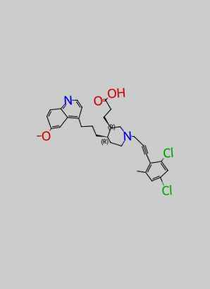 COc1ccc2nccc(CCC[C@@H]3CCN(CC#Cc4c(C)cc(Cl)cc4Cl)C[C@@H]3CCC(=O)O)c2c1